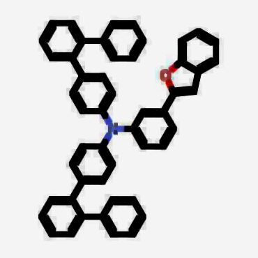 c1ccc(-c2ccccc2-c2ccc(N(c3ccc(-c4ccccc4-c4ccccc4)cc3)c3cccc(-c4cc5ccccc5o4)c3)cc2)cc1